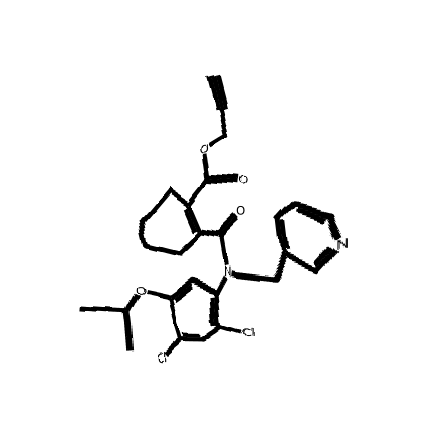 C#CCOC(=O)C1=C(C(=O)N(Cc2cccnc2)c2cc(OC(C)C)c(Cl)cc2Cl)CCCC1